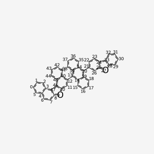 c1ccc2c(c1)ccc1oc3cc(-c4c5ccccc5c(-c5ccc6c(c5)oc5ccccc56)c5ccccc45)c4ccccc4c3c12